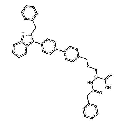 O=C(Cc1ccccc1)N[C@@H](CSCc1ccc(-c2ccc(-c3c(Cc4ccccc4)oc4ccccc34)cc2)cc1)C(=O)O